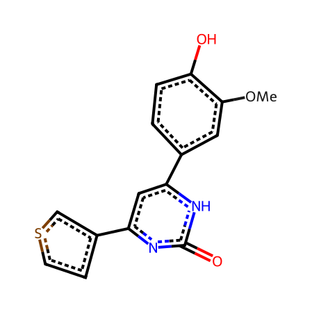 COc1cc(-c2cc(-c3ccsc3)nc(=O)[nH]2)ccc1O